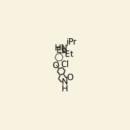 CC[C@H](NCC(C)C)[C@]1(CC)CC[C@H](Oc2cc3cc[nH]c(=O)c3cc2Cl)CC1